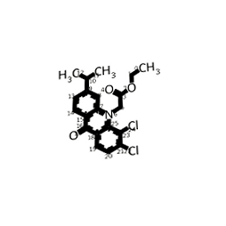 CCOC(=O)Cn1c2cc(C(C)C)ccc2c(=O)c2ccc(Cl)c(Cl)c21